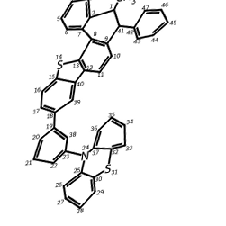 CC1c2ccccc2-c2c(ccc3c2sc2ccc(-c4cccc(N5c6ccccc6Sc6ccccc65)c4)cc23)C1c1ccccc1